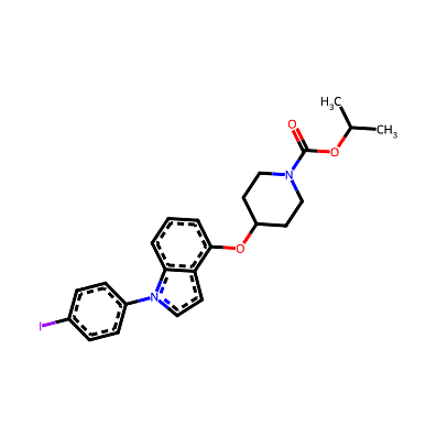 CC(C)OC(=O)N1CCC(Oc2cccc3c2ccn3-c2ccc(I)cc2)CC1